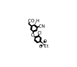 CCS(=O)(=O)c1ccc(Oc2cc(C#N)cc(CC(=O)O)c2)c(Cl)c1